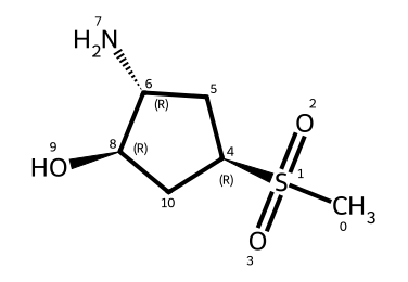 CS(=O)(=O)[C@@H]1C[C@@H](N)[C@H](O)C1